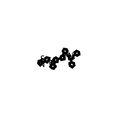 c1ccc(-c2cc(-c3ccccc3)nc(-n3c4ccccc4c4cc(-c5ccc6c(c5)c5ccccc5n6-c5ccc6sc7cccnc7c6c5)ccc43)c2)cc1